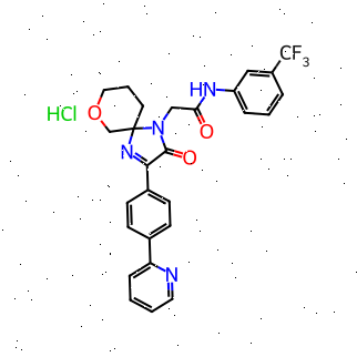 Cl.O=C(CN1C(=O)C(c2ccc(-c3ccccn3)cc2)=NC12CCCOC2)Nc1cccc(C(F)(F)F)c1